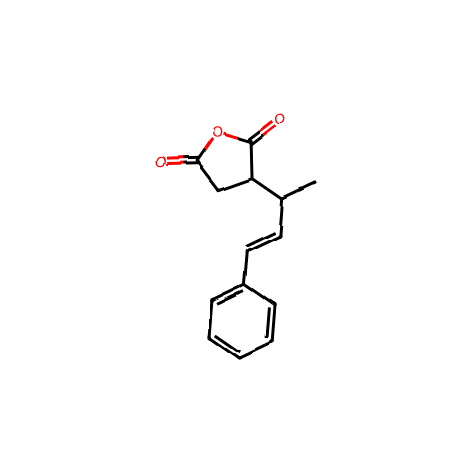 CC(C=Cc1ccccc1)C1CC(=O)OC1=O